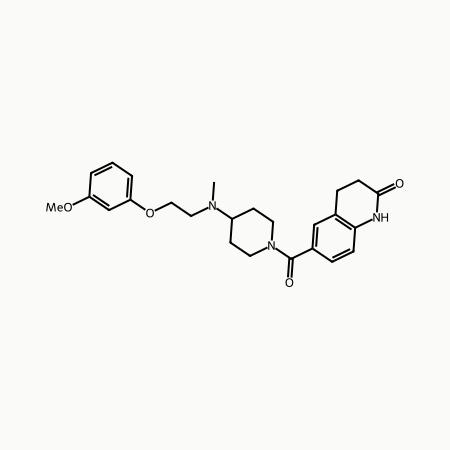 COc1cccc(OCCN(C)C2CCN(C(=O)c3ccc4c(c3)CCC(=O)N4)CC2)c1